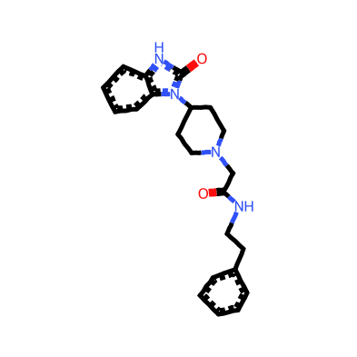 O=C(CN1CCC(n2c(=O)[nH]c3ccccc32)CC1)NCCc1ccccc1